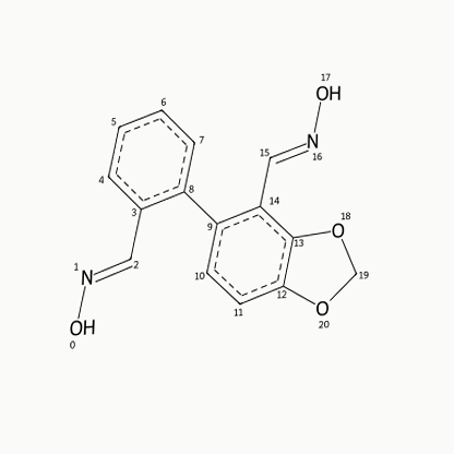 ON=Cc1ccccc1-c1ccc2c(c1C=NO)OCO2